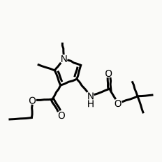 CCOC(=O)c1c(NC(=O)OC(C)(C)C)cn(C)c1C